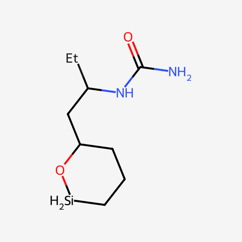 CCC(CC1CCC[SiH2]O1)NC(N)=O